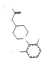 COC(=O)CC1CCN(c2c(C)cccc2F)CC1